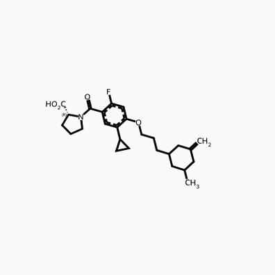 C=C1CC(C)CC(CCCOc2cc(F)c(C(=O)N3CCC[C@@H]3C(=O)O)cc2C2CC2)C1